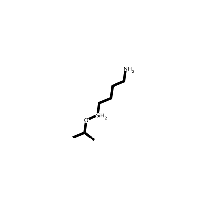 CC(C)O[SiH2]CCCCN